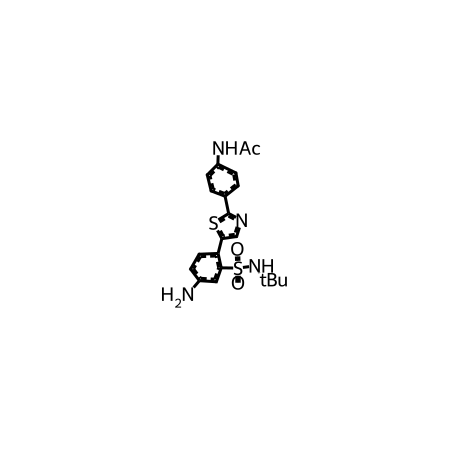 CC(=O)Nc1ccc(-c2ncc(-c3ccc(N)cc3S(=O)(=O)NC(C)(C)C)s2)cc1